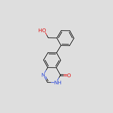 O=c1[nH]cnc2ccc(-c3ccccc3CO)cc12